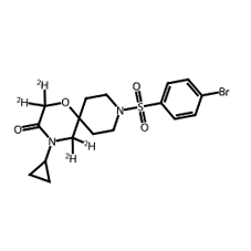 [2H]C1([2H])OC2(CCN(S(=O)(=O)c3ccc(Br)cc3)CC2)C([2H])([2H])N(C2CC2)C1=O